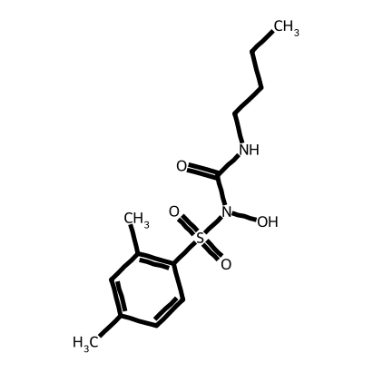 CCCCNC(=O)N(O)S(=O)(=O)c1ccc(C)cc1C